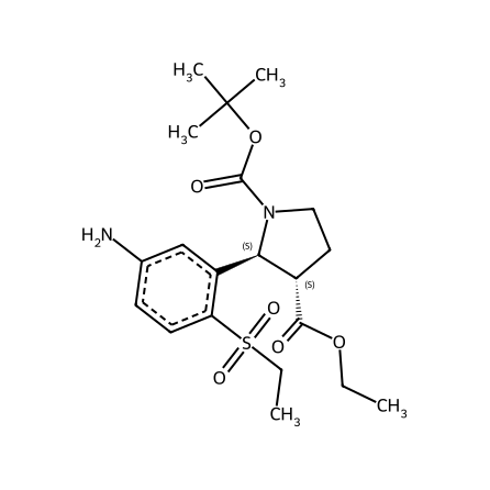 CCOC(=O)[C@H]1CCN(C(=O)OC(C)(C)C)[C@@H]1c1cc(N)ccc1S(=O)(=O)CC